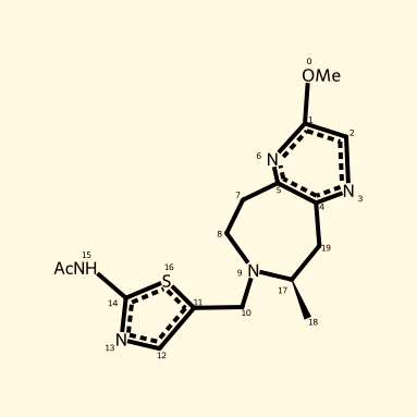 COc1cnc2c(n1)CCN(Cc1cnc(NC(C)=O)s1)[C@H](C)C2